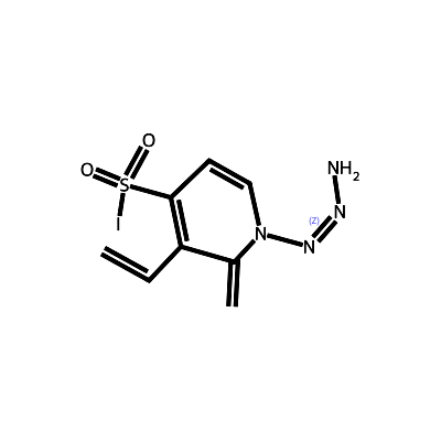 C=CC1=C(S(=O)(=O)I)C=CN(/N=N\N)C1=C